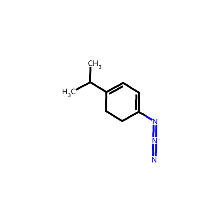 CC(C)C1=CC=C(N=[N+]=[N-])CC1